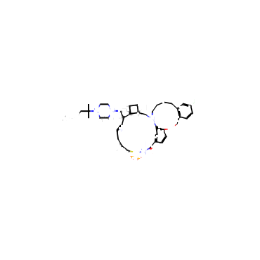 COCC(C)(C)N1CCN(C[C@]2(OC)/C=C/C[C@H](C)[C@@H](C)S(=O)(=O)NC(=O)c3ccc4c(c3)N(CCCCc3cc(Cl)ccc3CO4)C[C@@H]3CC[C@H]32)CC1